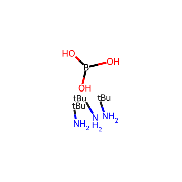 CC(C)(C)N.CC(C)(C)N.CC(C)(C)N.OB(O)O